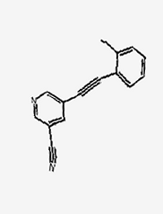 Cc1ccccc1C#Cc1cncc(C#N)c1